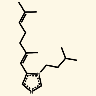 CC(C)=CCC/C(C)=C/c1cncn1CCC(C)C